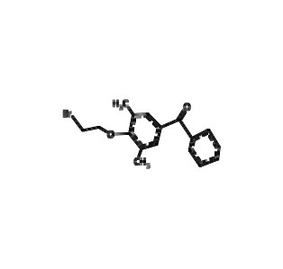 Cc1cc(C(=O)c2ccccc2)cc(C)c1OCCBr